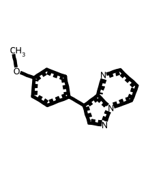 COc1ccc(-c2cnn3cccnc23)cc1